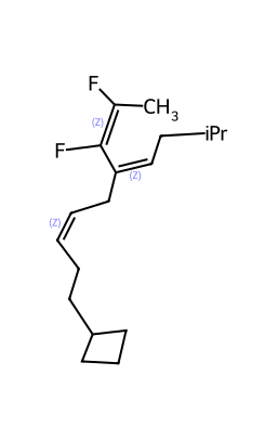 C/C(F)=C(F)\C(=C/CC(C)C)C/C=C\CCC1CCC1